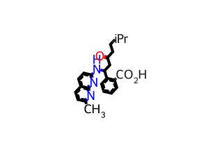 Cc1ccc2ccc(NC(CC(=O)CCC(C)C)c3ccccc3C(=O)O)nc2n1